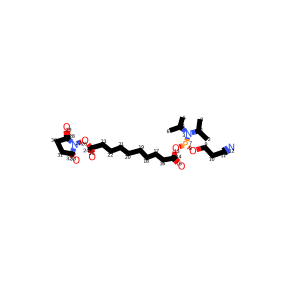 CC(C)N(C(C)C)P(OCCC#N)OC(=O)CCCCCCCCC(=O)ON1C(=O)CCC1=O